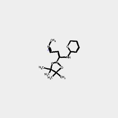 C/N=C\CC(NC1CCCCO1)B1OC(C)(C)C(C)(C)O1